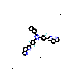 Fc1cc(-c2nc(-c3cc(F)c(-c4cnc5c(ccc6cccnc65)c4)c(F)c3)nc(-c3ccc4ccccc4c3)n2)cc(F)c1-c1cnc2c(ccc3cccnc32)c1